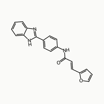 O=C(C=Cc1ccco1)Nc1ccc(-c2nc3ccccc3[nH]2)cc1